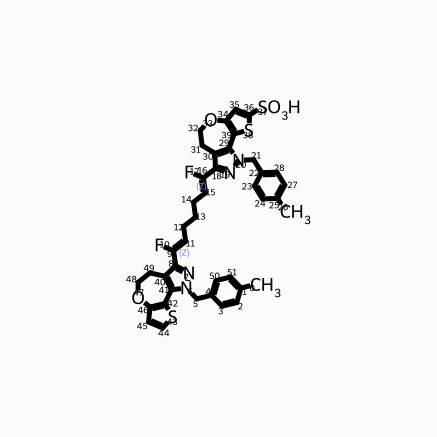 Cc1ccc(Cn2nc(/C(F)=C/CCC/C=C(\F)c3nn(Cc4ccc(C)cc4)c4c3CCOc3cc(S(=O)(=O)O)sc3-4)c3c2-c2sccc2OCC3)cc1